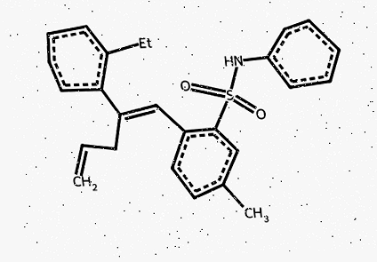 C=CC/C(=C\c1ccc(C)cc1S(=O)(=O)Nc1ccccc1)c1ccccc1CC